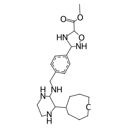 COC(=O)C1NC(c2ccc(CNC3NCCNC3C3CCCCCCC3)cc2)NO1